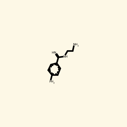 N=C(NCCN)c1ccc(P)cc1